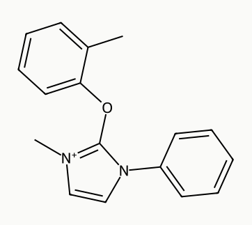 Cc1ccccc1Oc1n(-c2ccccc2)cc[n+]1C